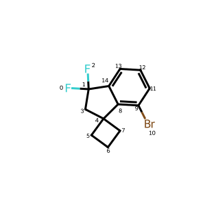 FC1(F)CC2(CCC2)c2c(Br)cccc21